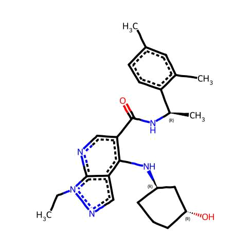 CCn1ncc2c(N[C@@H]3CCC[C@@H](O)C3)c(C(=O)N[C@H](C)c3ccc(C)cc3C)cnc21